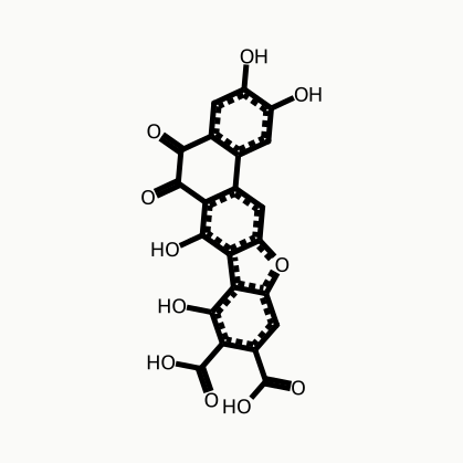 O=C1C(=O)c2c(cc3oc4cc(C(=O)O)c(C(=O)O)c(O)c4c3c2O)-c2cc(O)c(O)cc21